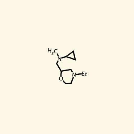 CCN1CCOC(CN(C)C2CC2)C1